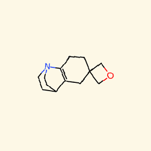 C1CC2(COC2)CC2=C1N1CCC2CC1